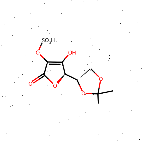 CC1(C)OC[C@@H]([C@H]2OC(=O)C(OS(=O)(=O)O)=C2O)O1